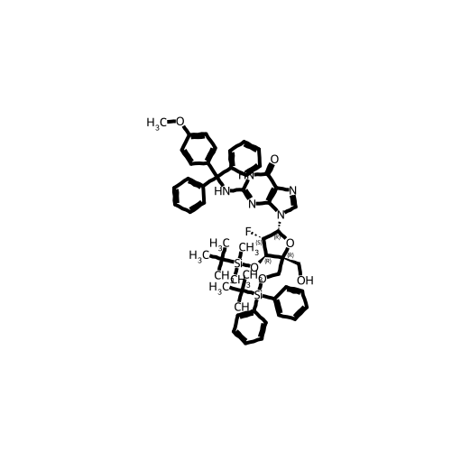 COc1ccc(C(Nc2nc3c(ncn3[C@@H]3O[C@](CO)(CO[Si](c4ccccc4)(c4ccccc4)C(C)(C)C)[C@@H](O[Si](C)(C)C(C)(C)C)[C@@H]3F)c(=O)[nH]2)(c2ccccc2)c2ccccc2)cc1